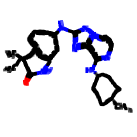 CC1(C)C(=O)Nc2cc(Nc3nc4c(N[C@H]5CC[C@@H](C)CC5)nccn4n3)ccc21